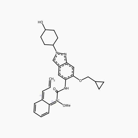 C=C/C=C1/C=CC=C/C1=[N+](\OC)C(=O)Nc1cc2cn(C3CCC(O)CC3)nc2cc1OCC1CC1